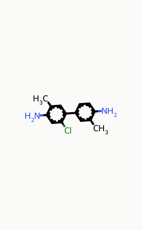 Cc1cc(-c2cc(C)c(N)cc2Cl)ccc1N